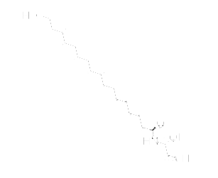 CCCCCCCCCCCCCCCCCC(=O)NC(O)CC